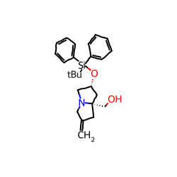 C=C1CN2C[C@H](O[Si](c3ccccc3)(c3ccccc3)C(C)(C)C)C[C@@]2(CO)C1